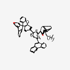 C[C@H]1CC2CC3CC(c4nc(-c5ccc6c(c5)Oc5ccccc5C65c6ccccc6-c6ccccc65)nc(-c5cc6ccccc6c6ccccc56)n4)(CC23)C1